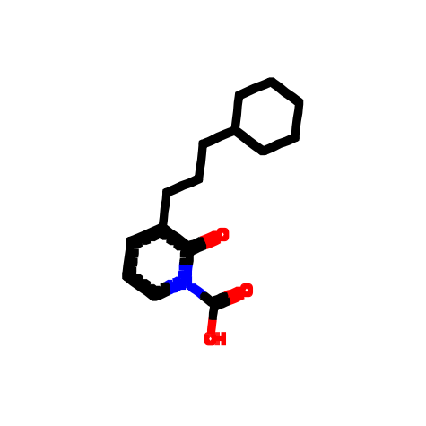 O=C(O)n1cccc(CCCC2CCCCC2)c1=O